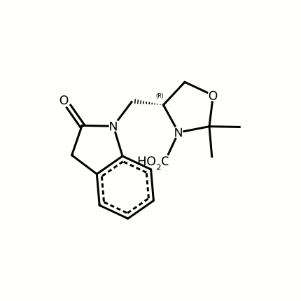 CC1(C)OC[C@@H](CN2C(=O)Cc3ccccc32)N1C(=O)O